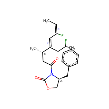 C/C=C(F)\C=C(/CC(C)F)[C@H](CC(=O)N1C(=O)OC[C@@H]1Cc1ccccc1)C(F)(F)F